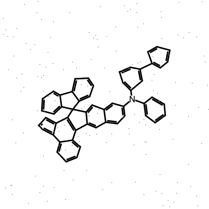 c1ccc(-c2cccc(N(c3ccccc3)c3ccc4cc5c(cc4c3)C3(c4ccccc4-c4ccccc43)c3c-5c4ccccc4c4ccccc34)c2)cc1